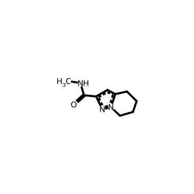 CNC(=O)c1cc2n(n1)CCCC2